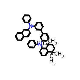 CC1(C)CCC(C)(C)c2c(N(c3ccccc3)c3cccc(-c4cccc(N(c5ccccc5)c5ccc6ccccc6c5)c4)c3)cccc21